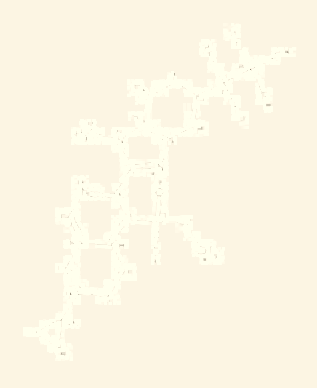 CCS(=O)(=O)c1c(-c2nc3cc(C(F)(F)C(F)(F)F)cnc3n2C)ncc2cc(C3CC3)ccc12